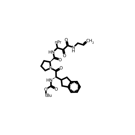 C=CCNC(=O)C(=O)C(CCC)NC(=O)[C@@H]1CCCN1C(=O)[C@@H](NC(=O)OC(C)(C)C)C1Cc2ccccc2C1